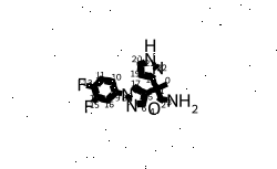 CC(C(N)=O)(c1cnn(-c2ccc(F)c(F)c2)c1)c1cc[nH]n1